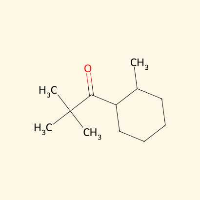 CC1CCCCC1C(=O)C(C)(C)C